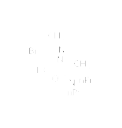 CCCN(CCC)C(=O)C(C)n1nc(C)c(Br)c1C